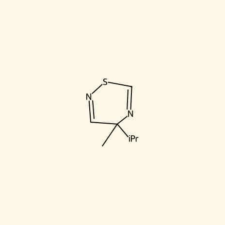 CC(C)C1(C)C=NSC=N1